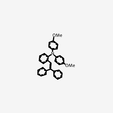 COc1ccc(N(c2ccc(OC)cc2)c2ccccc2C=C(c2ccccc2)c2ccccc2)cc1